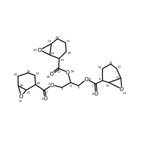 O=C(OCC(COC(=O)C1CCCC2OC21)OC(=O)C1CCCC2OC21)C1CCCC2OC21